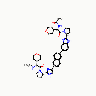 COC(=O)N[C@H](C(=O)N1CCC[C@H]1c1nc2cc(-c3ccc4cc(-c5c[nH]c([C@@H]6CCCN6C(=O)[C@@H](NC(=O)O)C6CCOCC6)n5)ccc4c3)ccc2[nH]1)C1CCOCC1